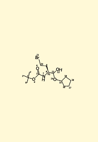 CC(C)(C)OC(=O)N[C@@H](CCBr)C(O)OC1CCCC1